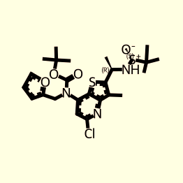 Cc1c([C@@H](C)N[S@+]([O-])C(C)(C)C)sc2c(N(Cc3ccco3)C(=O)OC(C)(C)C)cc(Cl)nc12